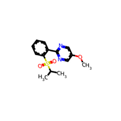 COc1cnc(-c2ccccc2S(=O)(=O)C(C)C)nc1